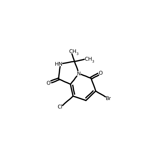 CC1(C)NC(=O)c2c(Cl)cc(Br)c(=O)n21